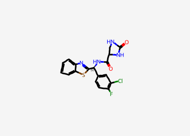 O=C1NCC(C(=O)N[C@@H](c2ccc(F)c(Cl)c2)c2nc3ccccc3s2)N1